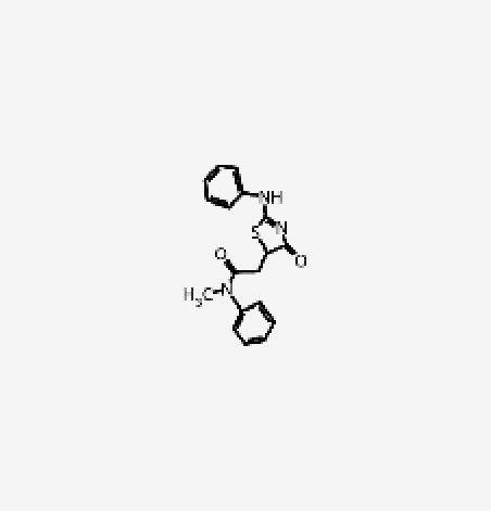 CN(C(=O)CC1SC(Nc2ccccc2)=NC1=O)c1ccccc1